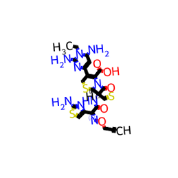 C#CCO/N=C(\C(=O)N[C@@]1(C=S)C(=O)N2C(C(=O)O)=C(C3=CC(N)N(CC)C(N)=N3)CS[C@@H]21)c1csc(N)n1